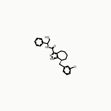 O=C(NC(CO)c1ccccc1)c1n[nH]c2c1CCCC[C@H]2Cc1cccc(Cl)c1